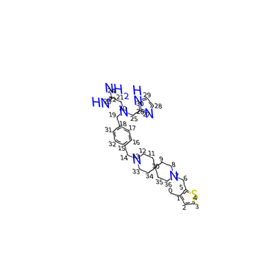 Cc1ccsc1CN1CCC2(CCN(Cc3ccc(CN(CC(=N)N)Cc4ncc[nH]4)cc3)CC2)CC1